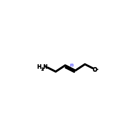 NC/C=C/C[O]